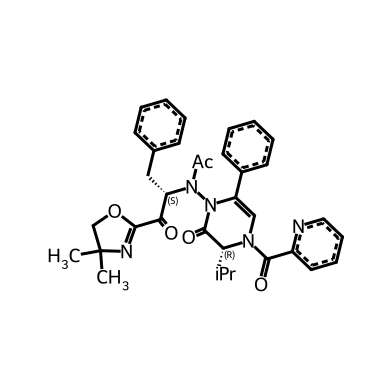 CC(=O)N([C@@H](Cc1ccccc1)C(=O)C1=NC(C)(C)CO1)N1C(=O)[C@@H](C(C)C)N(C(=O)c2ccccn2)C=C1c1ccccc1